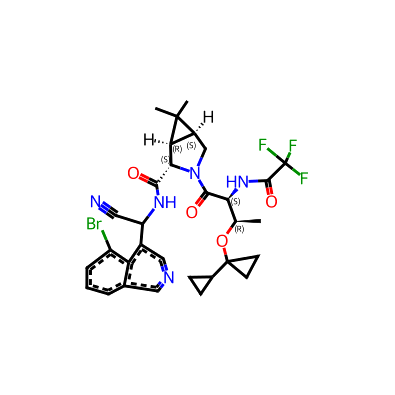 C[C@@H](OC1(C2CC2)CC1)[C@H](NC(=O)C(F)(F)F)C(=O)N1C[C@H]2[C@@H]([C@H]1C(=O)NC(C#N)c1cncc3cccc(Br)c13)C2(C)C